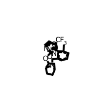 Cc1cccc(C(=O)N2C3CCC2C(Oc2ncc(C(F)(F)F)cn2)C3)c1-c1ncco1